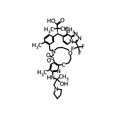 Cc1ccc([C@H](c2ccn3c(C(F)(F)F)nnc3c2C)C(C)(C)C(=O)O)cc1CN1CCCOCCCc2nc(NC(C)(O)CN3CCCC3)c(C)cc2S1(=O)=O